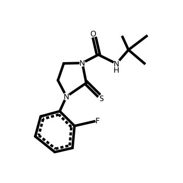 CC(C)(C)NC(=O)N1CCN(c2ccccc2F)C1=S